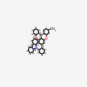 Cc1ccc2c(c1)Oc1cc(-c3ccccc3-n3c4ccccc4c4ccccc43)cc3c1B2c1ccccc1O3